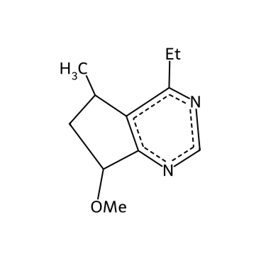 CCc1ncnc2c1C(C)CC2OC